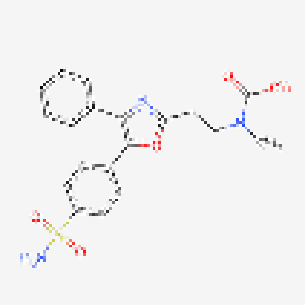 CN(CCc1nc(-c2ccccc2)c(-c2ccc(S(N)(=O)=O)cc2)o1)C(=O)O